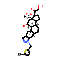 CCc1ccc(Cn2ncc3c2C=C2CC[C@@H]4[C@H]([C@@H](O)C[C@@]5(C)[C@H]4CC[C@]5(O)C(=O)CO)[C@@]2(C)C3)s1